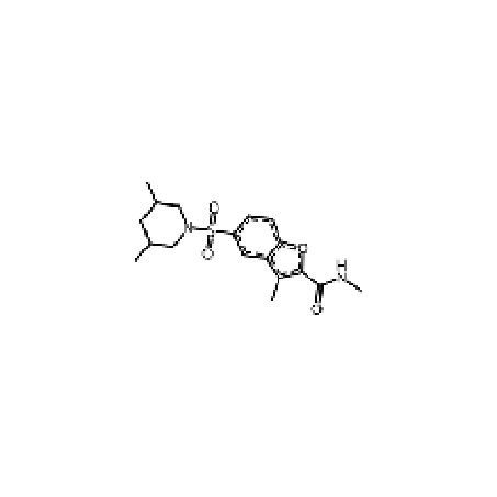 CNC(=O)c1oc2ccc(S(=O)(=O)N3CC(C)CC(C)C3)cc2c1C